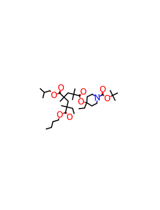 CCCCOC(=O)C(C)(CC)CC(C)(CC(C)(C)C(=O)OC1(CC)CCN(C(=O)OC(C)(C)C)CC1)C(=O)OCC(C)C